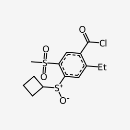 CCc1cc([S+]([O-])C2CCC2)c(S(C)(=O)=O)cc1C(=O)Cl